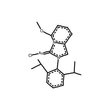 COc1cccc2cn(-c3c(C(C)C)cccc3C(C)C)[c](=[Au][Cl])n12